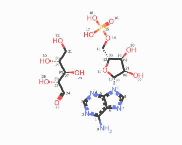 Nc1ncnc2c1ncn2[C@@H]1O[C@H](COP(=O)(O)O)[C@@H](O)[C@H]1O.O=C[C@H](O)[C@H](O)[C@H](O)CO